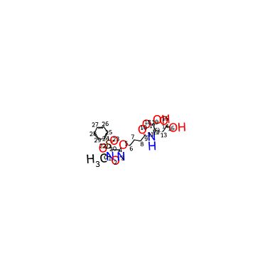 CN1ON=C(OCCCC(=O)N[C@@H](CC(=O)O)C(=O)O)C1S(=O)(=O)c1ccccc1